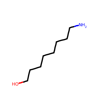 NCCCCCCCCO